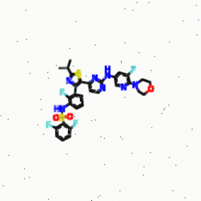 CC(C)c1nc(-c2cccc(NS(=O)(=O)c3c(F)cccc3F)c2F)c(-c2ccnc(Nc3cnc(N4CCOCC4)c(F)c3)n2)s1